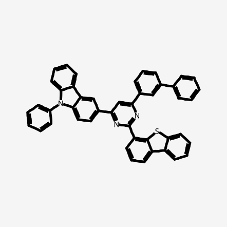 c1ccc(-c2cccc(-c3cc(-c4ccc5c(c4)c4ccccc4n5-c4ccccc4)nc(-c4cccc5c4sc4ccccc45)n3)c2)cc1